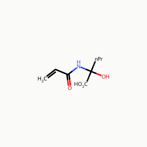 C=CC(=O)NC(O)(CCC)C(=O)O